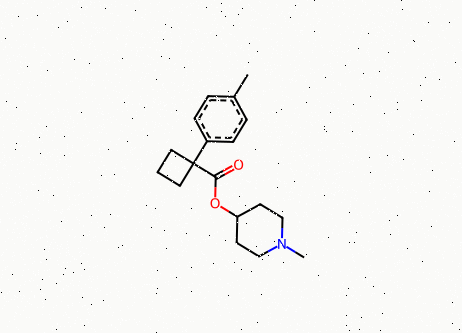 Cc1ccc(C2(C(=O)OC3CCN(C)CC3)CCC2)cc1